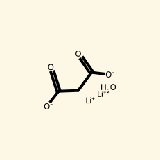 O.O=C([O-])CC(=O)[O-].[Li+].[Li+]